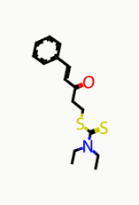 CCN(CC)C(=S)SCCC(=O)/C=C/c1ccccc1